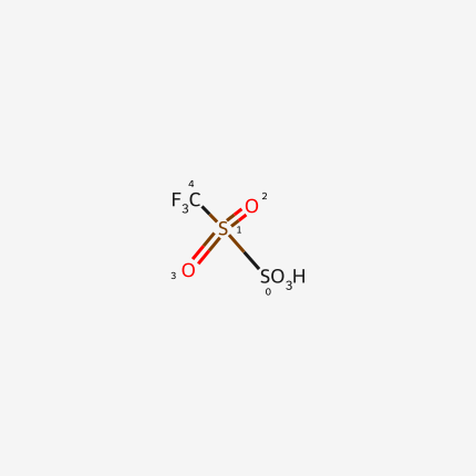 O=S(=O)(O)S(=O)(=O)C(F)(F)F